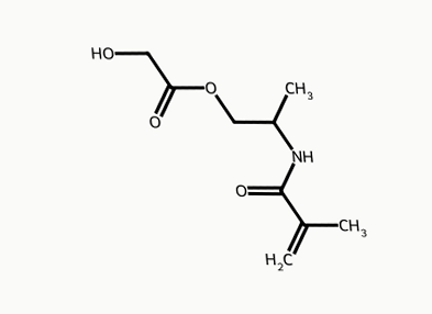 C=C(C)C(=O)NC(C)COC(=O)CO